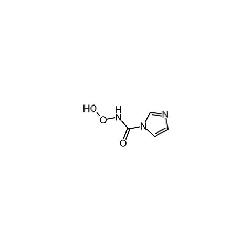 O=C(NOO)n1ccnc1